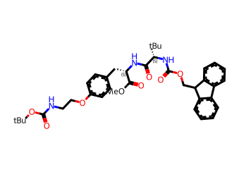 COC(=O)[C@H](Cc1ccc(OCCNC(=O)OC(C)(C)C)cc1)NC(=O)[C@@H](NC(=O)OCC1c2ccccc2-c2ccccc21)C(C)(C)C